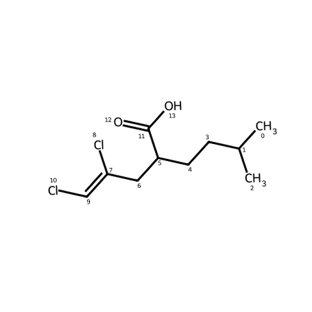 CC(C)CCC(C/C(Cl)=C/Cl)C(=O)O